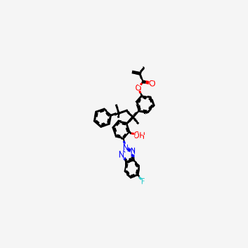 C=C(C)C(=O)Oc1cccc(C(C)(CC(C)(C)c2ccccc2)c2cccc(-n3nc4ccc(F)cc4n3)c2O)c1